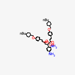 CCCCC1CCC(COc2ccc(C=CC(=O)CC(c3ccc(N)cc3N)C(O)(O)C(=O)C=Cc3ccc(OCC4CCC(CCCC)CC4)cc3)cc2)CC1